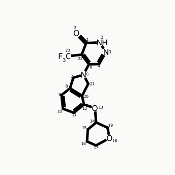 O=c1[nH]ncc(N2Cc3cccc(OC4CCCOC4)c3C2)c1C(F)(F)F